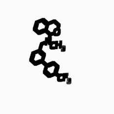 CN(Cc1cccc(-c2ccc(C(F)(F)F)cc2)c1)C1OCCc2ccccc21